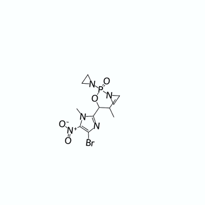 CC(C)C(OP(=O)(N1CC1)N1CC1)c1nc(Br)c([N+](=O)[O-])n1C